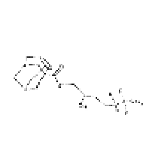 CC(F)(F)C(F)(F)CCC(O)COC(=O)C12CC3CC(C1)C(=O)C(C3)C2